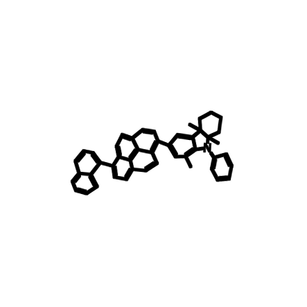 Cc1cc(-c2ccc3ccc4c(-c5cccc6ccccc56)ccc5ccc2c3c54)cc2c1N(c1ccccc1)C1(C)CCCCC21C